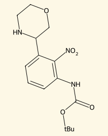 CC(C)(C)OC(=O)Nc1cccc(C2COCCN2)c1[N+](=O)[O-]